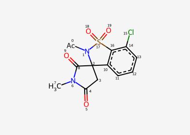 CC(=O)N1C2(CC(=O)N(C)C2=O)c2cccc(Cl)c2S1(=O)=O